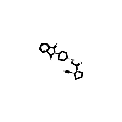 N#C[C@@H]1CCCN1C(=O)CN[C@H]1CC[C@H](N2C(=O)c3ccccc3C2=O)CC1